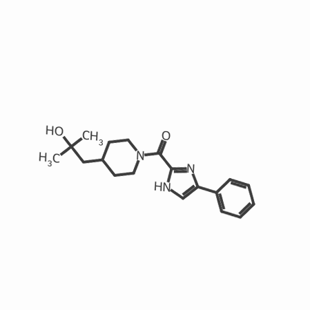 CC(C)(O)CC1CCN(C(=O)c2nc(-c3ccccc3)c[nH]2)CC1